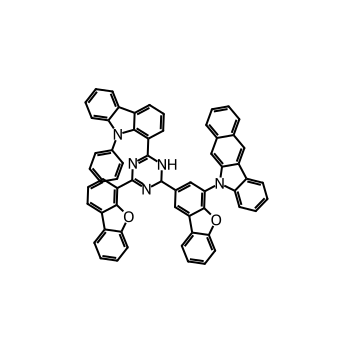 c1ccc(-n2c3ccccc3c3cccc(C4=NC(c5cccc6c5oc5ccccc56)=NC(c5cc(-n6c7ccccc7c7cc8ccccc8cc76)c6oc7ccccc7c6c5)N4)c32)cc1